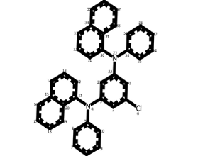 Clc1cc(N(c2ccccc2)c2cccc3ccccc23)cc(N(c2ccccc2)c2cccc3ccccc23)c1